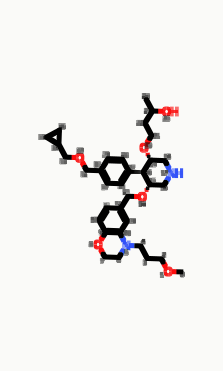 COCCCN1CCOc2ccc(CO[C@H]3CNC[C@@H](OCCC(C)O)[C@@H]3c3ccc(COCC4CC4)cc3)cc21